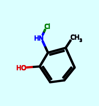 Cc1cccc(O)c1NCl